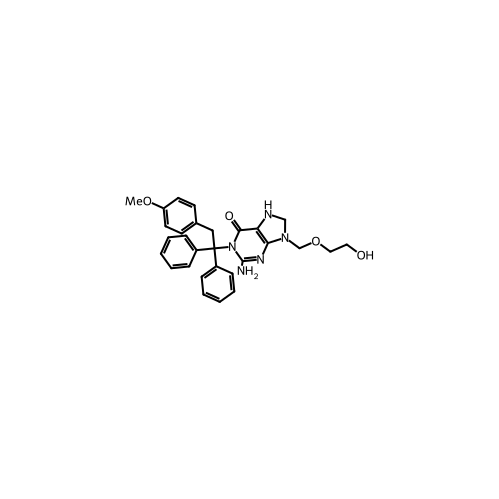 COc1ccc(CC(c2ccccc2)(c2ccccc2)n2c(N)nc3c(c2=O)NCN3COCCO)cc1